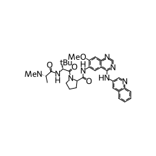 CN[C@@H](C)C(=O)N[C@H](C(=O)N1CCCC1C(=O)Nc1cc2c(Nc3cnc4ccccc4c3)ncnc2cc1OC)C(C)(C)C